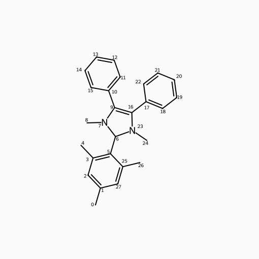 Cc1cc(C)c(C2N(C)C(c3ccccc3)=C(c3ccccc3)N2C)c(C)c1